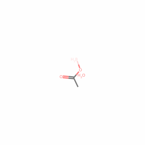 BOC(C)=O.O